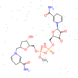 COP(=O)(OC[C@H]1OC(CN2C=CCC(C(N)=O)=C2)C[C@@H]1O)OP(=O)(O)OC[C@H]1O[C@@H](N2C=CCC(C(N)=O)=C2)C(=O)C1=O